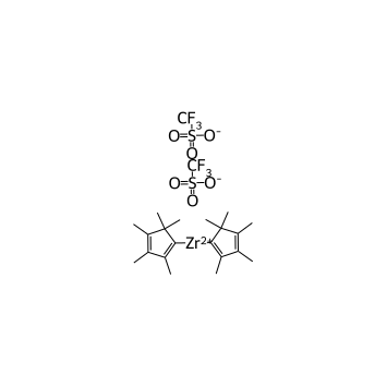 CC1=C(C)C(C)(C)[C]([Zr+2][C]2=C(C)C(C)=C(C)C2(C)C)=C1C.O=S(=O)([O-])C(F)(F)F.O=S(=O)([O-])C(F)(F)F